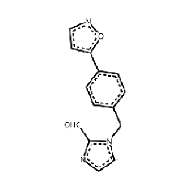 O=Cc1nc[c]n1Cc1ccc(-c2ccno2)cc1